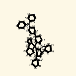 c1ccc(N(c2ccccc2)c2ccc(-c3ccc4c(c3)C3(c5ccccc5-c5ccccc53)c3cc5c6ccccc6oc5c5c6ccccc6n-4c35)cc2)cc1